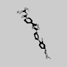 COOSc1ccc(N2CC[C@H](c3nc(C4CCN(C(=O)OC(C)C)CC4)no3)C2)c(F)c1